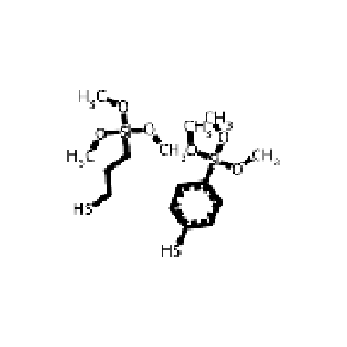 CO[Si](CCCS)(OC)OC.CO[Si](OC)(OC)c1ccc(S)cc1